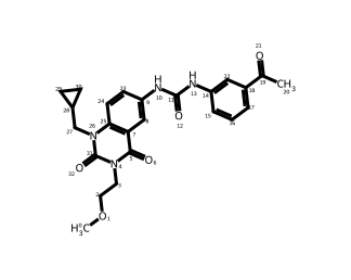 COCCn1c(=O)c2cc(NC(=O)Nc3cccc(C(C)=O)c3)ccc2n(CC2CC2)c1=O